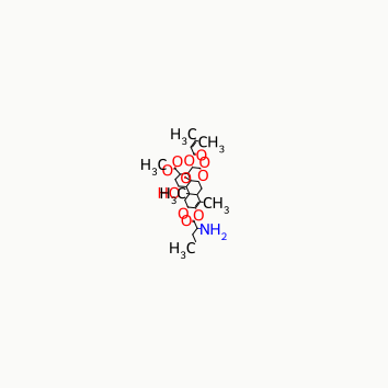 CCCC(N)C(=O)OC1=C(C)C2CC3OC(=O)C(OC(=O)C=C(C)C)C4C5(C(=O)OC)CC(O)C(C2(C)CC1=O)C34CO5